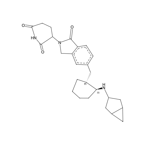 O=C1CCC(N2Cc3cc(C[C@H]4CCCC[C@@H]4NC4CC5CC5C4)ccc3C2=O)C(=O)N1